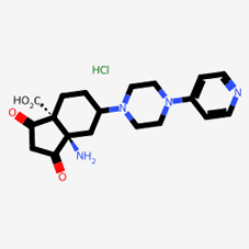 Cl.N[C@]12CC(N3CCN(c4ccncc4)CC3)CC[C@]1(C(=O)O)C(=O)CC2=O